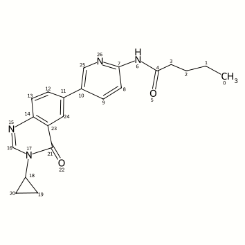 CCCCC(=O)Nc1ccc(-c2ccc3ncn(C4CC4)c(=O)c3c2)cn1